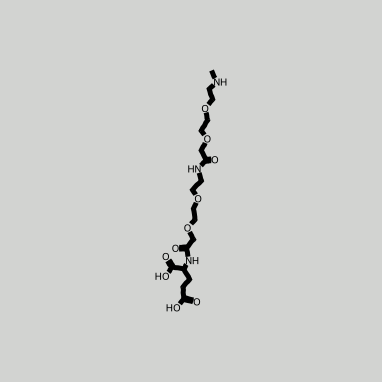 CNCCOCCOCC(=O)NCCOCCOCC(=O)NC(CCC(=O)O)C(=O)O